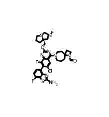 Nc1nc2c(-c3c(Cl)cc4c(N5CCCC6(CC5)CCN6C=O)nc(OC[C@@]56CCCN5C[C@H](F)C6)nc4c3F)ccc(F)c2s1